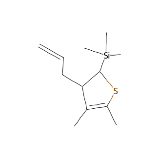 C=CCC1C(C)=C(C)SC1[Si](C)(C)C